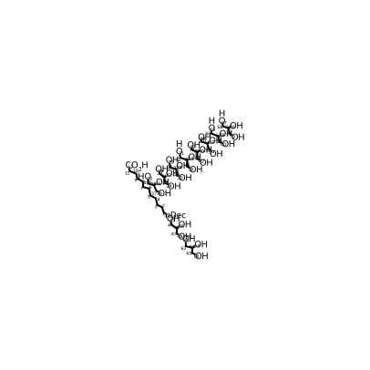 CCCCCCCCCCCCCCCCCCCCCC(=O)O.OCC(O)CO.OCC(O)CO.OCC(O)CO.OCC(O)CO.OCC(O)CO.OCC(O)CO.OCC(O)CO.OCC(O)CO.OCC(O)CO.OCC(O)CO